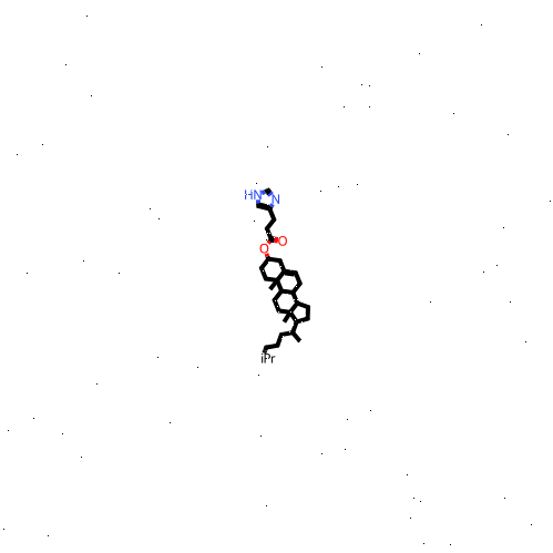 CC(C)CCCC(C)C1CCC2C3CC=C4CC(OC(=O)CCc5c[nH]cn5)CCC4(C)C3CCC12C